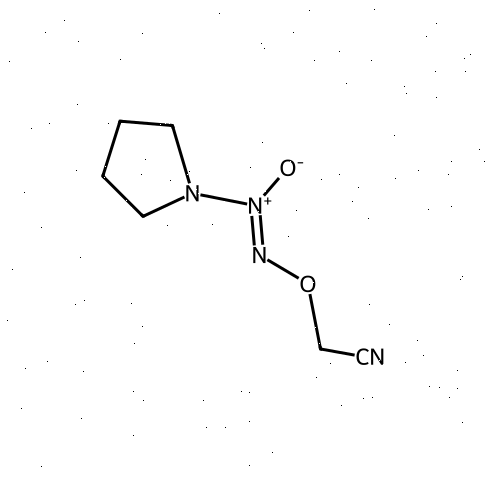 N#CCON=[N+]([O-])N1CCCC1